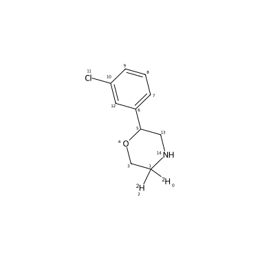 [2H]C1([2H])COC(c2cccc(Cl)c2)CN1